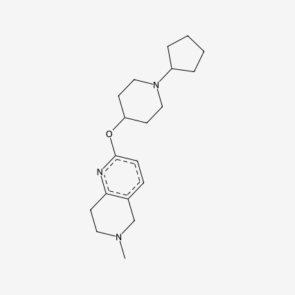 CN1CCc2nc(OC3CCN(C4CCCC4)CC3)ccc2C1